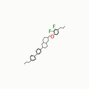 CCCc1ccc(-c2ccc(C3CCC4CC(COc5ccc(CCC)c(F)c5F)CCC4C3)cc2)cc1